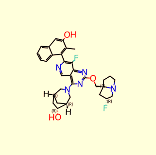 Cc1c(O)cc2ccccc2c1-c1ncc2c(N3C[C@@H]4C[C@H](C3)[C@H](O)C4)nc(OC[C@@]34CCCN3C[C@H](F)C4)nc2c1F